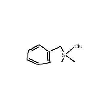 CC(C)(C)[Si](C)(C)Cc1ccccc1